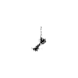 CCCCCCCCCCCCCCCC(=O)Nc1cc(OCc2ccc(N=Nc3c(C)c(C#N)c(=O)n(C)c3O)cc2)c2ccccc2c1OC(OC)OCC